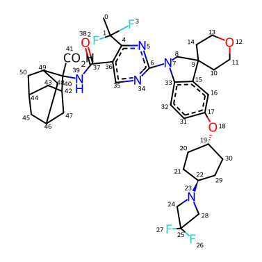 CC(F)(F)c1nc(N2CC3(CCOCC3)c3cc(O[C@H]4CC[C@H](N5CC(F)(F)C5)CC4)ccc32)ncc1C(=O)NC1(C(=O)O)C2CC3CC(C2)CC1C3